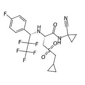 N#CC1(NC(=O)[C@H](CS(=O)(=O)CC2CC2)N[C@@H](c2ccc(F)cc2)C(F)(F)C(F)(F)F)CC1